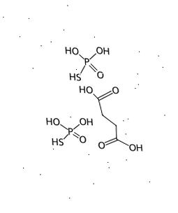 O=C(O)CCC(=O)O.O=P(O)(O)S.O=P(O)(O)S